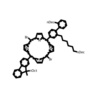 CCCCCCCCCCCCCCCCc1cc(-c2c3nc(c(Br)c4ccc([nH]4)c(-c4ccc5c(c4)C(C)(CCCCCCCC)c4ccccc4-5)c4nc(c(Br)c5ccc2[nH]5)C=C4)C=C3)ccc1-c1ccccc1CCCCCCCCCC